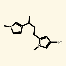 CC(C)c1cc(CCC(C)c2ccn(C)c2)n(C)c1